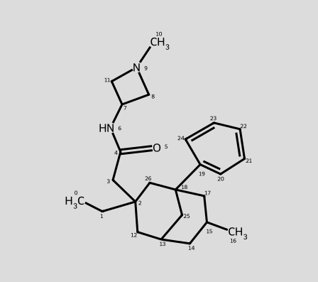 CCC1(CC(=O)NC2CN(C)C2)CC2CC(C)CC(c3ccccc3)(C2)C1